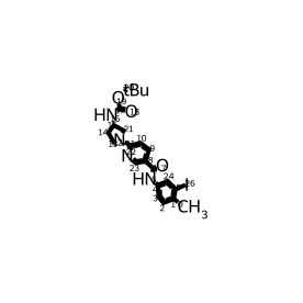 Cc1ccc(NC(=O)c2ccc(N3CC[C@H](NC(=O)OC(C)(C)C)C3)nc2)cc1I